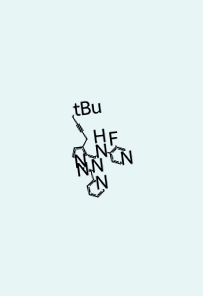 CC(C)(C)CC#CCc1ccn2nc(-c3ccccn3)nc(Nc3ccncc3F)c12